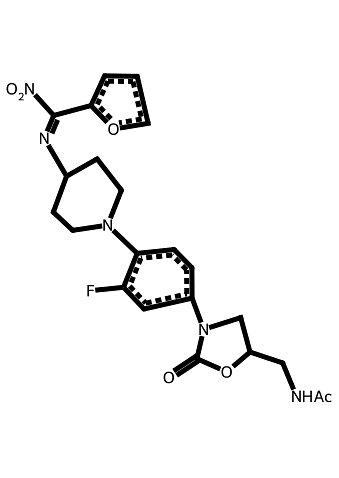 CC(=O)NCC1CN(c2ccc(N3CCC(N=C(c4ccco4)[N+](=O)[O-])CC3)c(F)c2)C(=O)O1